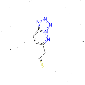 S=[C]Cc1ccc2nnnn2n1